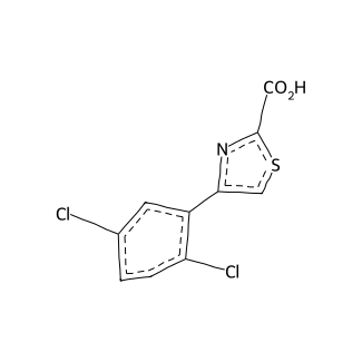 O=C(O)c1nc(-c2cc(Cl)ccc2Cl)cs1